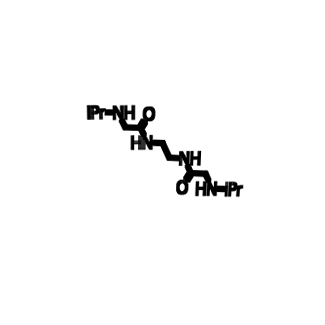 CC(C)NCC(=O)NCCNC(=O)CNC(C)C